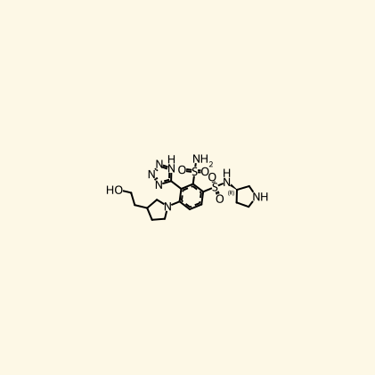 NS(=O)(=O)c1c(S(=O)(=O)N[C@@H]2CCNC2)ccc(N2CCC(CCO)C2)c1-c1nnn[nH]1